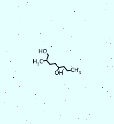 CCCC(O)CCC(C)CO